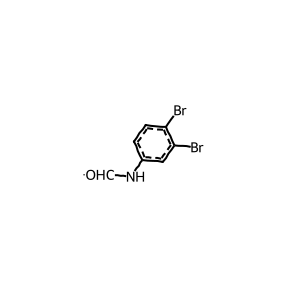 O=[C]Nc1ccc(Br)c(Br)c1